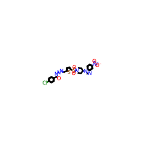 O=C(N=[N+]=NCc1ccc(S(=O)(=O)N2CCC(n3cnc4cc([N+](=O)[O-])ccc43)CC2)s1)c1ccc(Cl)cc1